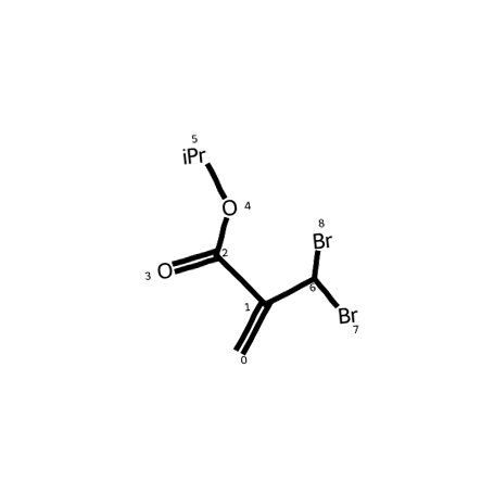 C=C(C(=O)OC(C)C)C(Br)Br